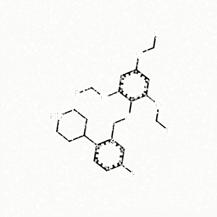 FCOc1cc(OCF)c(OCc2cc(F)ccc2C2CCNCC2)c(OCF)c1